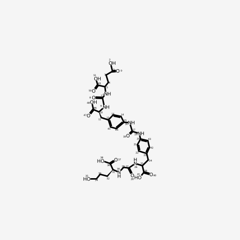 O=C(O)CCC(NC(=O)N[C@@H](Cc1ccc(NC(=O)Nc2ccc(CC(NC(=O)CN[C@@H](CCCO)C(=O)O)C(=O)O)cc2)cc1)C(=O)O)C(=O)O